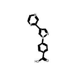 O=C(O)c1ccc(-n2cc(-c3cnccn3)cn2)cc1